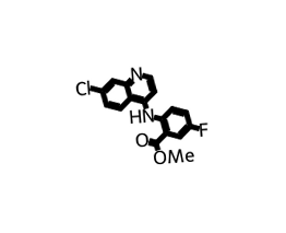 COC(=O)c1cc(F)ccc1Nc1ccnc2cc(Cl)ccc12